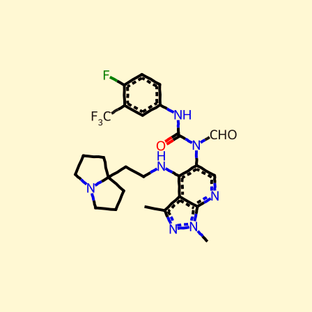 Cc1nn(C)c2ncc(N(C=O)C(=O)Nc3ccc(F)c(C(F)(F)F)c3)c(NCCC34CCCN3CCC4)c12